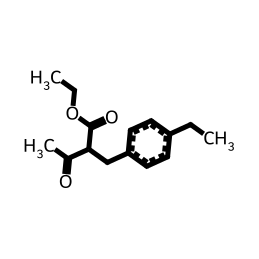 CCOC(=O)C(Cc1ccc(CC)cc1)C(C)=O